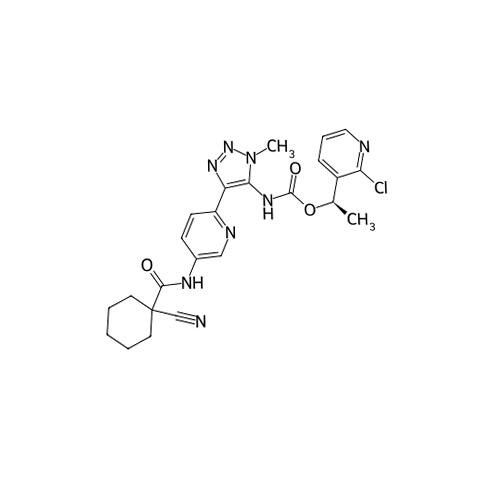 C[C@@H](OC(=O)Nc1c(-c2ccc(NC(=O)C3(C#N)CCCCC3)cn2)nnn1C)c1cccnc1Cl